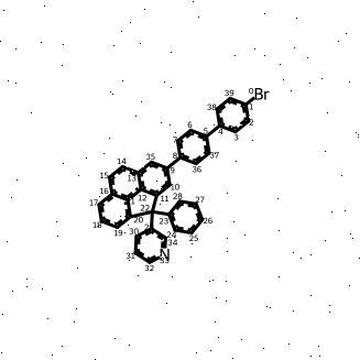 Brc1ccc(-c2ccc(-c3cc4c5c(ccc6cccc(c65)C4(c4ccccc4)c4cccnc4)c3)cc2)cc1